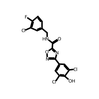 O=C(NCc1ccc(F)c(Cl)c1)c1nc(-c2cc(Cl)c(O)c(Cl)c2)no1